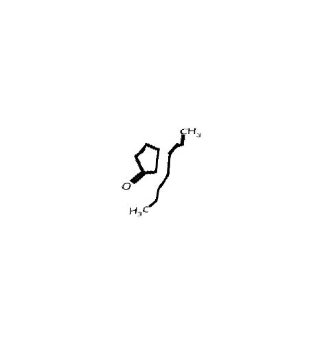 CC=CCCCC.O=C1CCCC1